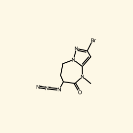 CN1C(=O)C(N=[N+]=[N-])CCn2nc(Br)cc21